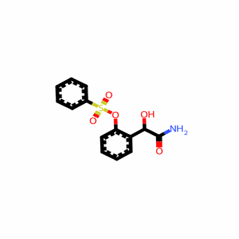 NC(=O)C(O)c1ccccc1OS(=O)(=O)c1ccccc1